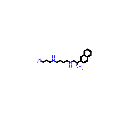 NCCCNCCCCNCC(N)c1ccc2ccccc2c1